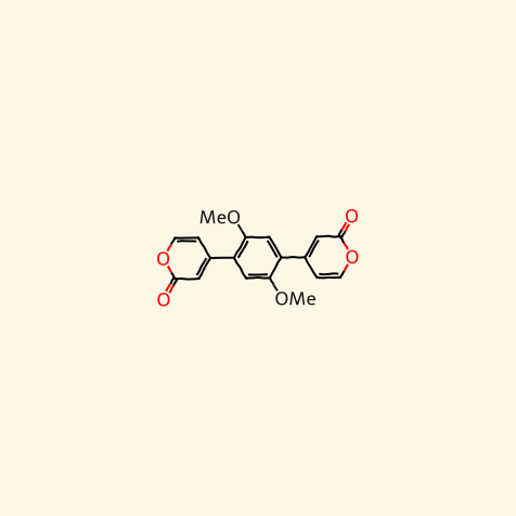 COc1cc(-c2ccoc(=O)c2)c(OC)cc1-c1ccoc(=O)c1